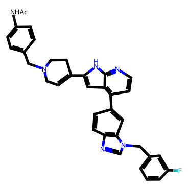 CC(=O)Nc1ccc(CN2CC=C(c3cc4c(-c5ccc6ncn(Cc7cccc(F)c7)c6c5)ccnc4[nH]3)CC2)cc1